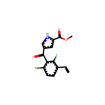 C=Cc1ccc(F)c(C(=O)c2c[nH]c(C(=O)OC)c2)c1F